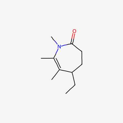 CCC1CCC(=O)N(C)C(C)=C1C